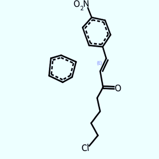 O=C(/C=C/c1ccc([N+](=O)[O-])cc1)CCCCCl.c1ccccc1